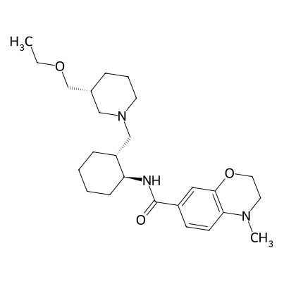 CCOC[C@@H]1CCCN(C[C@H]2CCCC[C@@H]2NC(=O)c2ccc3c(c2)OCCN3C)C1